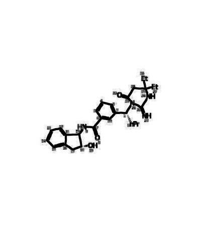 CCC[C@H](c1cccc(C(=O)N[C@@H]2c3ccccc3C[C@H]2O)c1)N1C(=N)NC(CC)(CC)CC1=O